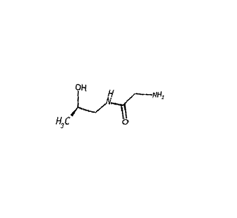 C[C@@H](O)CNC(=O)CN